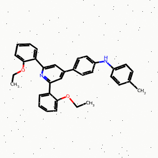 CCOc1ccccc1-c1cc(-c2ccc(Nc3ccc(C)cc3)cc2)cc(-c2ccccc2OCC)n1